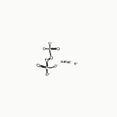 O=P([O-])([O-])OOP(=O)([O-])[O-].[K+].[K+].[Na+].[Na+]